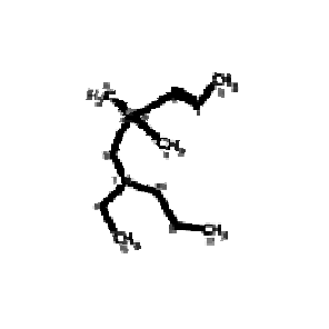 CC=C[Si](C)(C)CN(CC)CCC